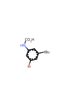 CC(C)(C)c1cc(Br)cc(NC(=O)O)c1